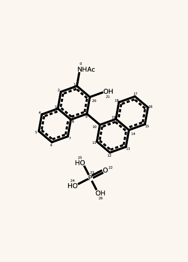 CC(=O)Nc1cc2ccccc2c(-c2cccc3ccccc23)c1O.O=P(O)(O)O